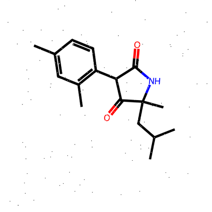 Cc1ccc(C2C(=O)NC(C)(CC(C)C)C2=O)c(C)c1